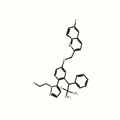 CC(C)(C)C(c1ccccc1)c1cc(OCc2ccc3cc(F)ccc3n2)ccc1-c1ccnn1CCF